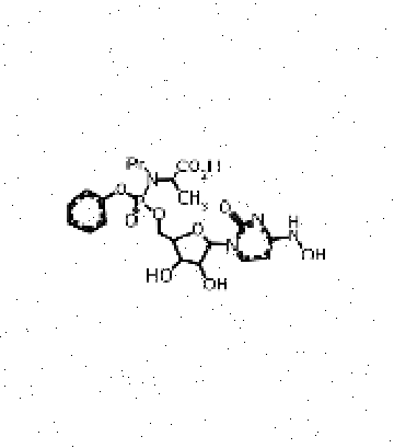 CC(C)N([C@@H](C)C(=O)O)P(=O)(OCC1OC(n2ccc(NO)nc2=O)C(O)C1O)Oc1ccccc1